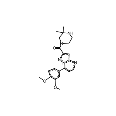 COc1ccc(-c2ccnc3cc(C(=O)N4CCNC(C)(C)C4)nn23)cc1OC